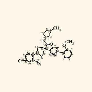 COc1ccccc1-c1ccc(C2(C(=O)N[C@H]3CCN(C)C3)CCN(c3ccc(Cl)cc3C#N)CC2)cn1